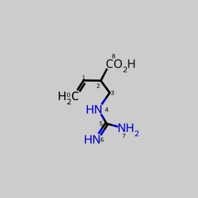 C=CC(CNC(=N)N)C(=O)O